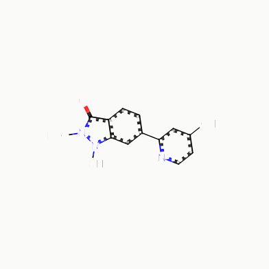 Cc1ccnc(-c2ccc3c(=O)n(C)n(C)c3c2)c1